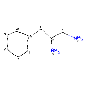 NCC(N)CC1CCCCC1